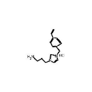 C=Cc1ccc(CN2C=CN(CCCN)C2)cc1.Cl